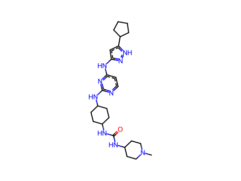 CN1CCC(NC(=O)NC2CCC(Nc3nccc(Nc4cc(C5CCCC5)[nH]n4)n3)CC2)CC1